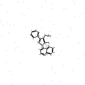 CC(=O)Cc1c(-c2ccccc2)nn(-c2ccnc3ccccc23)c1C